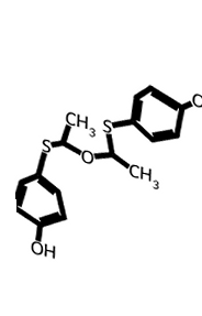 CC(OC(C)Sc1ccc(O)cc1)Sc1ccc(O)cc1